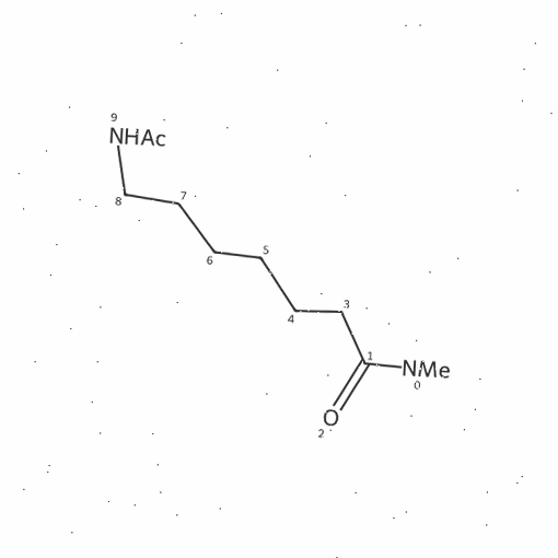 CNC(=O)CCCCCCNC(C)=O